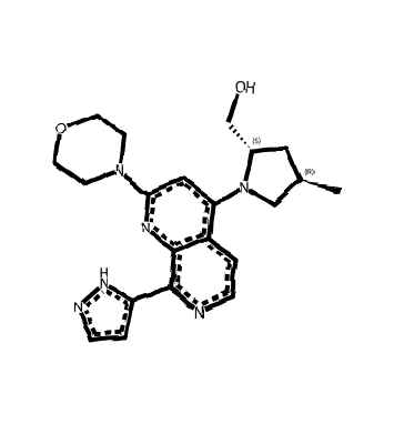 C[C@@H]1C[C@@H](CO)N(c2cc(N3CCOCC3)nc3c(-c4ccn[nH]4)nccc23)C1